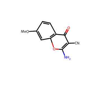 COc1ccc2c(=O)c(C#N)c(N)oc2c1